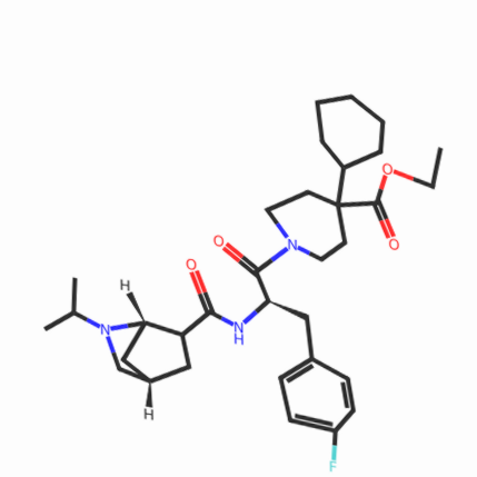 CCOC(=O)C1(C2CCCCC2)CCN(C(=O)[C@@H](Cc2ccc(F)cc2)NC(=O)C2C[C@H]3C[C@@H]2N(C(C)C)C3)CC1